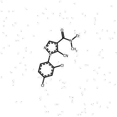 CCN(C)C(=O)c1cnn(-c2ccc(Cl)cc2Cl)c1C#N